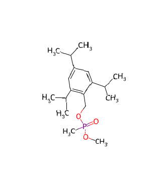 COP(C)(=O)OCc1c(C(C)C)cc(C(C)C)cc1C(C)C